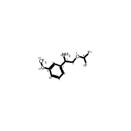 NC(COC(F)F)c1cccc(OC(F)(F)F)c1